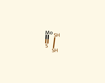 SS.[S]=[Mo]